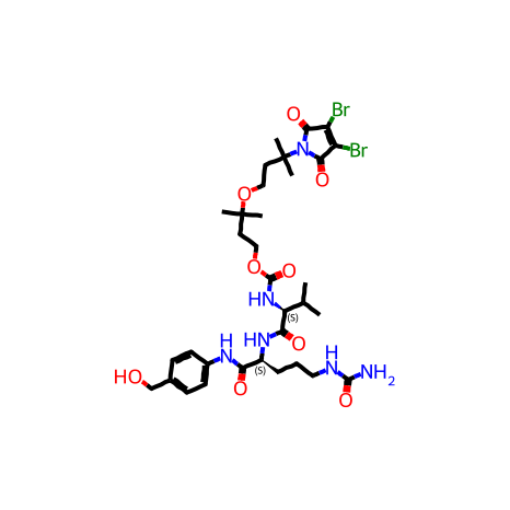 CC(C)[C@H](NC(=O)OCCC(C)(C)OCCC(C)(C)N1C(=O)C(Br)=C(Br)C1=O)C(=O)N[C@@H](CCCNC(N)=O)C(=O)Nc1ccc(CO)cc1